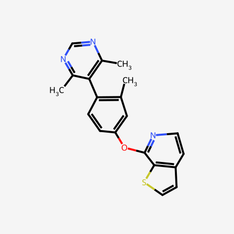 Cc1cc(Oc2nccc3ccsc23)ccc1-c1c(C)ncnc1C